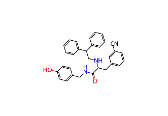 N#Cc1cccc(CC(NCC(c2ccccc2)c2ccccc2)C(=O)NCc2ccc(O)cc2)c1